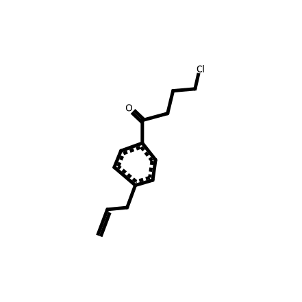 C=CCc1ccc(C(=O)CCCCl)cc1